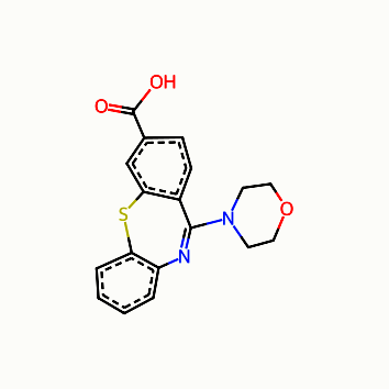 O=C(O)c1ccc2c(c1)Sc1ccccc1N=C2N1CCOCC1